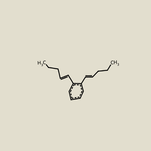 CCCC=Cc1ccccc1C=CCCC